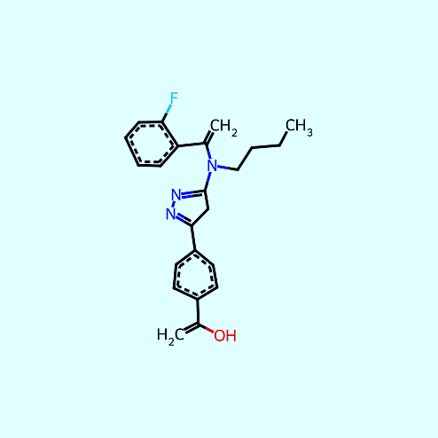 C=C(O)c1ccc(C2=NN=C(N(CCCC)C(=C)c3ccccc3F)C2)cc1